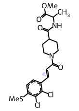 COC(=O)C(C)NC(=O)C1CCN(C(=O)/C=C/c2ccc(SC)c(Cl)c2Cl)CC1